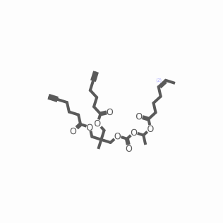 C#CCCCC(=O)OCC(C)(COC(=O)CCCC#C)COC(=O)OC(C)OC(=O)CCC/C=C\C